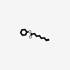 C=CCCCCCC(=O)OC1CCCCC1